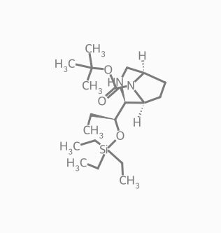 CC[C@H](O[Si](CC)(CC)CC)[C@H]1NC[C@H]2CC[C@@H]1N2C(=O)OC(C)(C)C